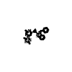 Cc1nc([C@@H]2C[C@H]2c2nc3ccccc3n2Cc2ccccc2)cc(-n2nc(C)nc2C)n1